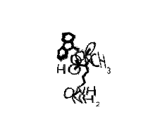 CN(C(=O)OCC1c2ccccc2-c2ccccc21)C(CCCCNC(N)=O)C(=O)O